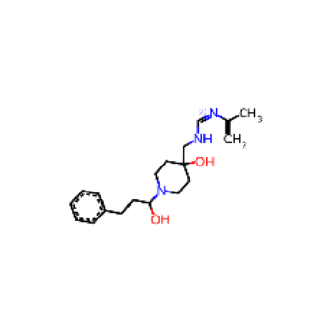 C=C(C)/N=C\NCC1(O)CCN(C(O)CCc2ccccc2)CC1